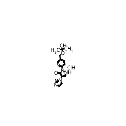 CC(C)(C)OCc1ccc(-n2[nH]cc(-n3ccnn3)c2=O)nc1.Cl